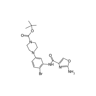 CC(C)(C)OC(=O)N1CCN(c2ccc(Br)c(NC(=O)c3coc(N)n3)c2)CC1